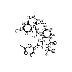 C=C[C@H](OC(C)=O)[C@@H]1CC[C@H]1CN1C[C@@]2(CCCc3cc(Cl)ccc32)COc2ccc(C(=O)OC(C)=O)cc21